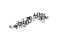 C=C1CCC(OC2CC(O)(C(C)NC(=O)c3[nH]cc(Cl)c3Cl)C(O)C(C)O2)C2C=CC(C)C(/C(O)=C3\C(=O)C(C(C)C)N(C4OC(C)C(OC(N)=O)C(OC(C)=O)C4OC)C3=O)C12